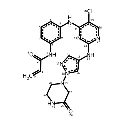 C=CC(=O)Nc1cccc(Nc2nc(Nc3cnn(N4CCNC(=O)C4)c3)ncc2Cl)c1